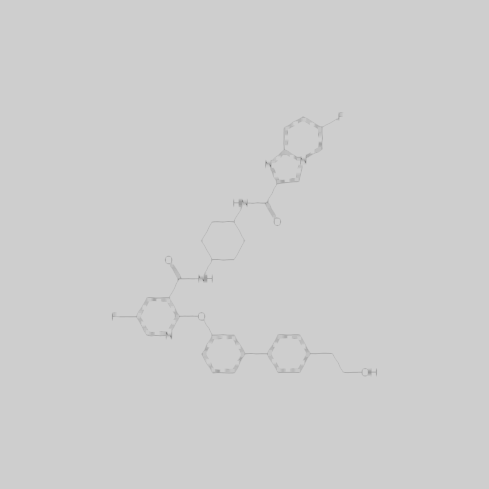 O=C(NC1CCC(NC(=O)c2cc(F)cnc2Oc2cccc(-c3ccc(CCO)cc3)c2)CC1)c1cn2cc(F)ccc2n1